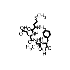 CSCC[C@H](N)C(=O)N[C@@H](CCC(=O)O)C(=O)N[C@@H](C)C(=O)N[C@@H](Cc1ccccc1)C(=O)O